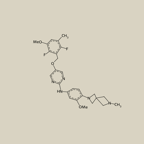 COc1cc(Nc2ncc(OCc3c(F)c(C)cc(OC)c3F)cn2)ccc1N1CC2(CN(C)C2)C1